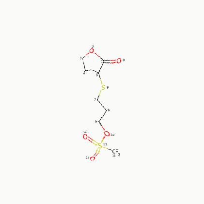 O=C1OCCC1SCCCOS(=O)(=O)C(F)(F)F